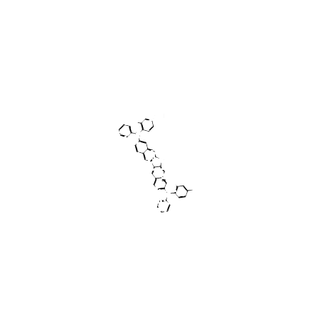 Cc1ccc(N(c2ccccc2)c2ccc3cc4c(cc3c2)oc2cc3cc(N(c5ccccc5)c5ccc(C)cc5C)ccc3cc24)c(C)c1